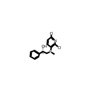 CN(C[C@@H](O)c1ccccc1)c1ccc(Cl)nc1Cl